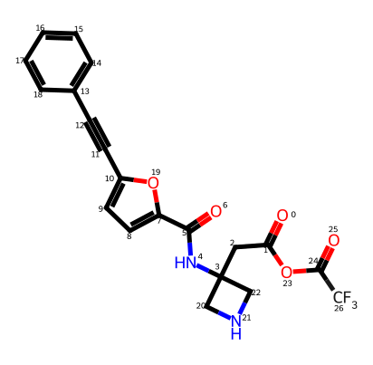 O=C(CC1(NC(=O)c2ccc(C#Cc3ccccc3)o2)CNC1)OC(=O)C(F)(F)F